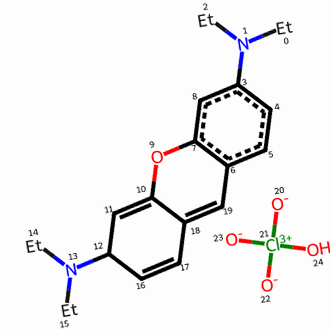 CCN(CC)c1ccc2c(c1)OC1=CC(N(CC)CC)C=CC1=C2.[O-][Cl+3]([O-])([O-])O